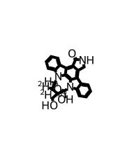 [2H]C1([2H])[C@H]2O[C@](C)(n3c4ccccc4c4c5c(c6c7ccccc7n2c6c43)C(=O)NC5)[C@@]1(O)CO